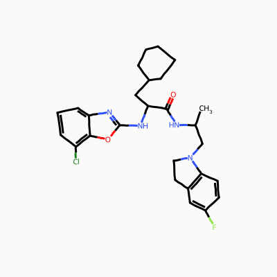 CC(CN1CCc2cc(F)ccc21)NC(=O)C(CC1CCCCC1)Nc1nc2cccc(Cl)c2o1